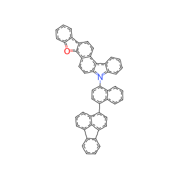 c1ccc2c(c1)-c1cccc3c(-c4ccc(-n5c6ccccc6c6c7ccc8c9ccccc9oc8c7ccc65)c5ccccc45)ccc-2c13